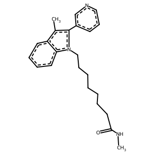 CNC(=O)CCCCCCCn1c(-c2cccnc2)c(C)c2ccccc21